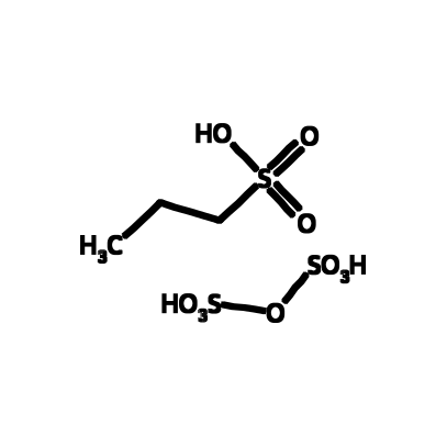 CCCS(=O)(=O)O.O=S(=O)(O)OS(=O)(=O)O